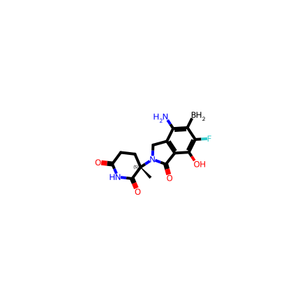 Bc1c(N)c2c(c(O)c1F)C(=O)N([C@@]1(C)CCC(=O)NC1=O)C2